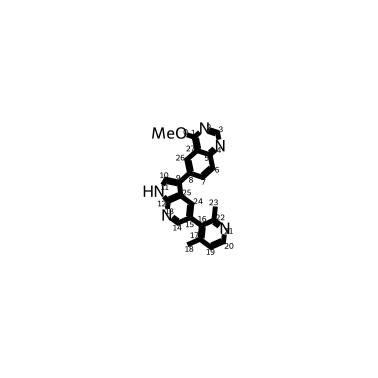 COc1ncnc2ccc(-c3c[nH]c4ncc(-c5c(C)ccnc5C)cc34)cc12